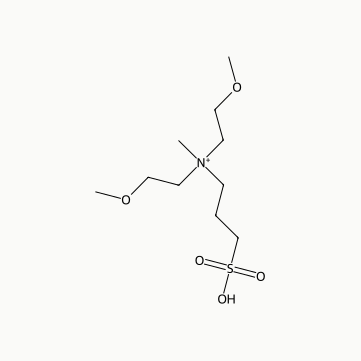 COCC[N+](C)(CCCS(=O)(=O)O)CCOC